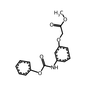 COC(=O)COc1cccc(NC(=O)Oc2ccccc2)c1